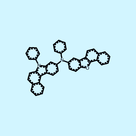 c1ccc(N(c2ccc3oc4c5ccccc5ccc4c3c2)c2ccc3c4c5ccccc5ccc4n(-c4ccccc4)c3c2)cc1